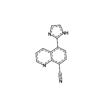 N#Cc1ccc(-c2ncc[nH]2)c2cccnc12